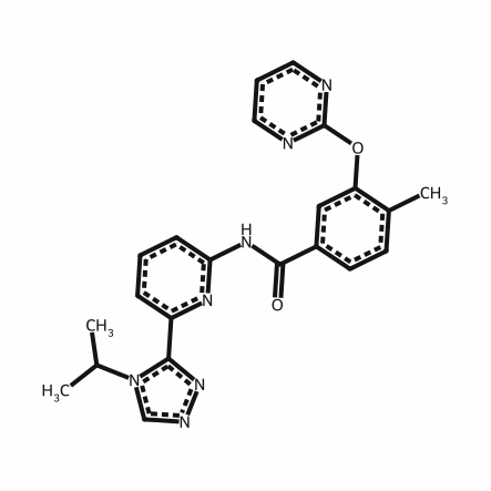 Cc1ccc(C(=O)Nc2cccc(-c3nncn3C(C)C)n2)cc1Oc1ncccn1